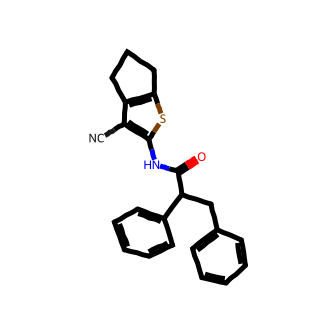 N#Cc1c(NC(=O)C(Cc2ccccc2)c2ccccc2)sc2c1CCC2